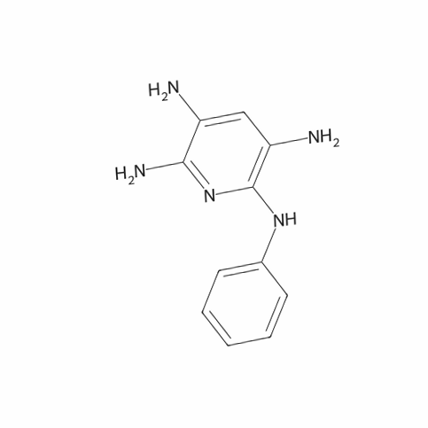 Nc1cc(N)c(Nc2ccccc2)nc1N